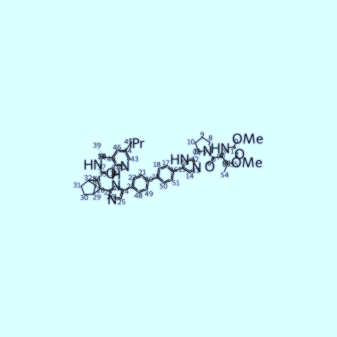 COC(=O)N[C@H](C(=O)N1CCC[C@H]1c1ncc(-c2ccc(-c3ccc(-c4cnc(C5C6CCC(C6)[C@@H]5C(=O)N[C@H](C)c5cncc(C(C)C)c5)[nH]4)cc3)cc2)[nH]1)[C@@H](C)OC